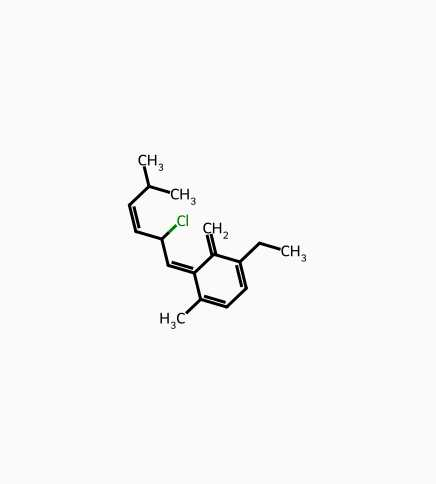 C=c1c(CC)ccc(C)/c1=C/C(Cl)/C=C\C(C)C